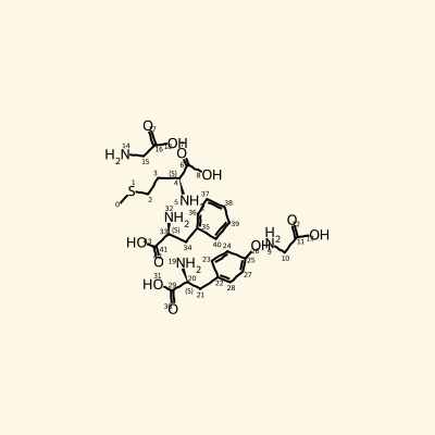 CSCC[C@H](N)C(=O)O.NCC(=O)O.NCC(=O)O.N[C@@H](Cc1ccc(O)cc1)C(=O)O.N[C@@H](Cc1ccccc1)C(=O)O